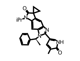 Cc1cc(-c2nc3cc4c(cc3n2[C@@H](C)c2ccccc2)N(C(C)C)C(=O)C42CC2)c[nH]c1=O